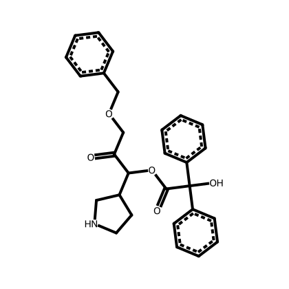 O=C(COCc1ccccc1)C(OC(=O)C(O)(c1ccccc1)c1ccccc1)C1CCNC1